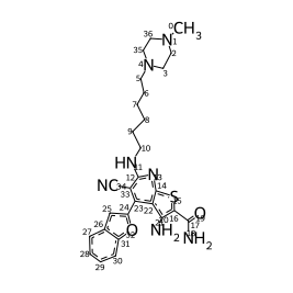 CN1CCN(CCCCCCNc2nc3sc(C(N)=O)c(N)c3c(-c3cc4ccccc4o3)c2C#N)CC1